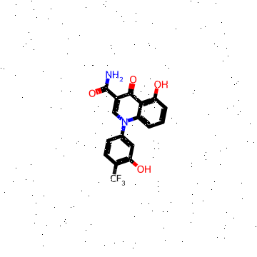 NC(=O)c1cn(-c2ccc(C(F)(F)F)c(O)c2)c2cccc(O)c2c1=O